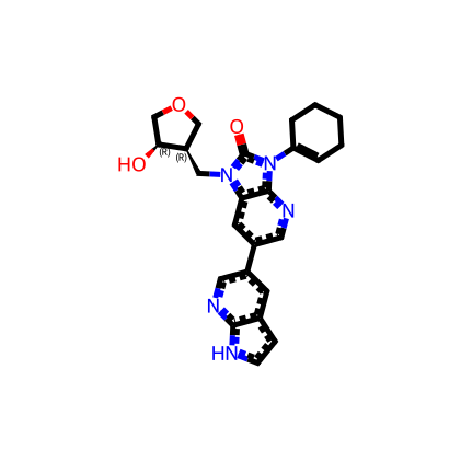 O=c1n(C[C@@H]2COC[C@@H]2O)c2cc(-c3cnc4[nH]ccc4c3)cnc2n1C1=CCCCC1